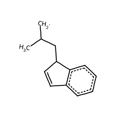 [CH2]C(C)CC1C=Cc2ccccc21